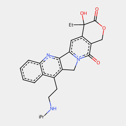 CCC1(O)C(=O)OCc2c1cc1n(c2=O)Cc2c-1nc1ccccc1c2CCNC(C)C